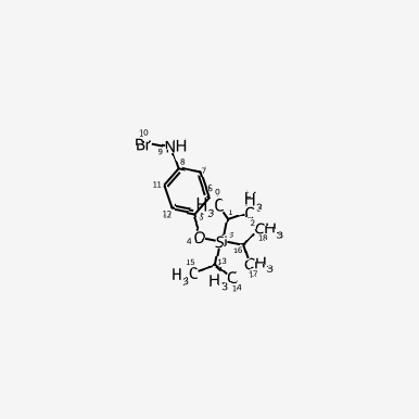 CC(C)[Si](Oc1ccc(NBr)cc1)(C(C)C)C(C)C